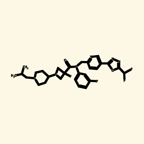 CC(C)CN1CCC(N2CC(F)(C(=O)N(Cc3ccc(-c4nnc(C(F)F)o4)cn3)c3cccc(F)c3)C2)CC1